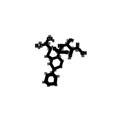 CC(C)C(NS(=O)(=O)N1CCC(c2ccccc2)CC1CCN(C)C)C(=O)NO